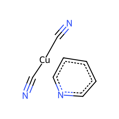 N#[C][Cu][C]#N.c1ccncc1